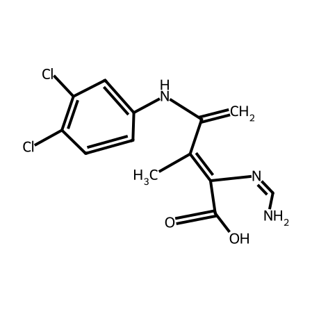 C=C(Nc1ccc(Cl)c(Cl)c1)/C(C)=C(\N=C/N)C(=O)O